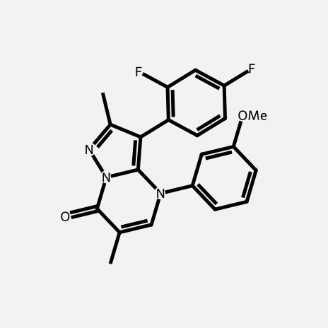 COc1cccc(-n2cc(C)c(=O)n3nc(C)c(-c4ccc(F)cc4F)c23)c1